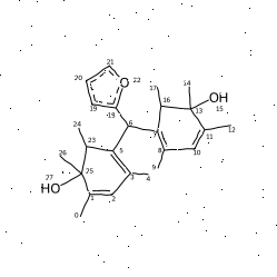 CC1=CC(C)=C(C(C2=C(C)C=C(C)C(C)(O)C2C)c2ccco2)C(C)C1(C)O